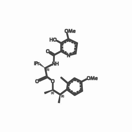 COc1ccc([C@@H](C)[C@@H](C)OC(=O)[C@@H](NC(=O)c2nccc(OC)c2O)C(C)C)c(C)c1